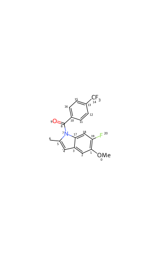 COc1cc2[c]c(C)n(C(=O)c3ccc(C(F)(F)F)cc3)c2cc1F